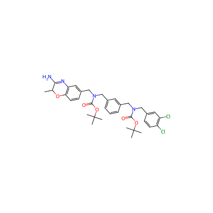 CC1Oc2ccc(CN(Cc3cccc(CN(Cc4ccc(Cl)c(Cl)c4)C(=O)OC(C)(C)C)c3)C(=O)OC(C)(C)C)cc2N=C1N